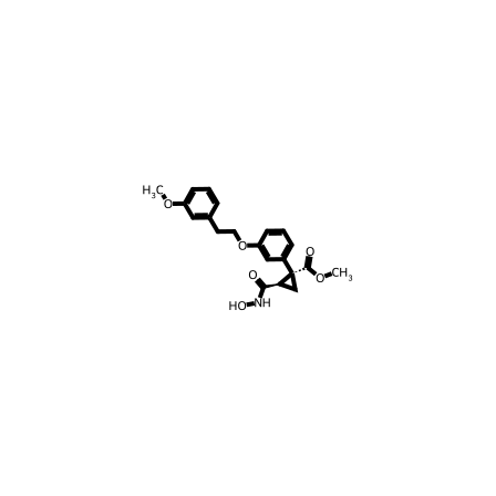 COC(=O)[C@]1(c2cccc(OCCc3cccc(OC)c3)c2)C[C@H]1C(=O)NO